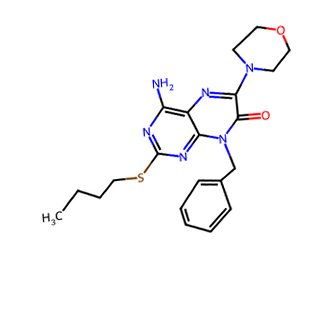 CCCCSc1nc(N)c2nc(N3CCOCC3)c(=O)n(Cc3ccccc3)c2n1